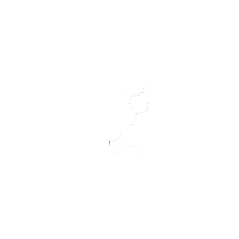 CCOC(=O)c1nnn(PC)c1SCc1ccc(Cl)c(Cl)c1